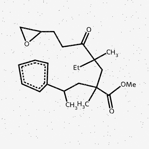 CCC(C)(CC(C)(CC(C)c1ccccc1)C(=O)OC)C(=O)CCC1CO1